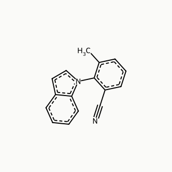 Cc1cccc(C#N)c1-n1ccc2ccccc21